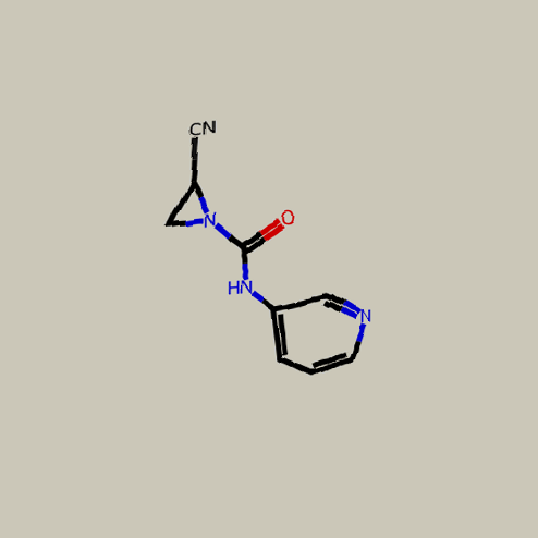 N#CC1CN1C(=O)Nc1cccnc1